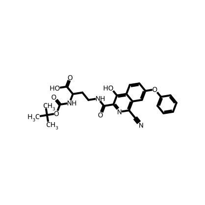 CC(C)(C)OC(=O)NC(CCNC(=O)c1nc(C#N)c2cc(Oc3ccccc3)ccc2c1O)C(=O)O